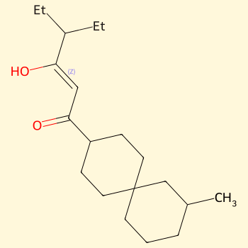 CCC(CC)/C(O)=C/C(=O)C1CCC2(CCCC(C)C2)CC1